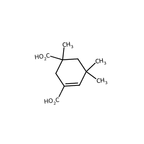 CC1(C)C=C(C(=O)O)CC(C)(C(=O)O)C1